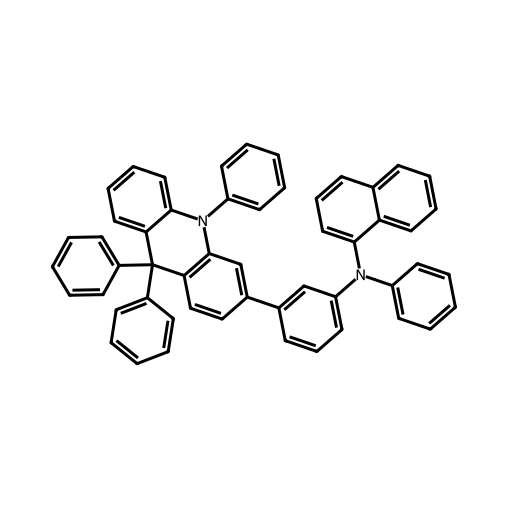 c1ccc(N2c3ccccc3C(c3ccccc3)(c3ccccc3)c3ccc(-c4cccc(N(c5ccccc5)c5cccc6ccccc56)c4)cc32)cc1